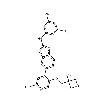 Cc1cc(-c2ccn3nc(Nc4cc(C)nc(C)n4)cc3c2)c(OCC2(C)COC2)cn1